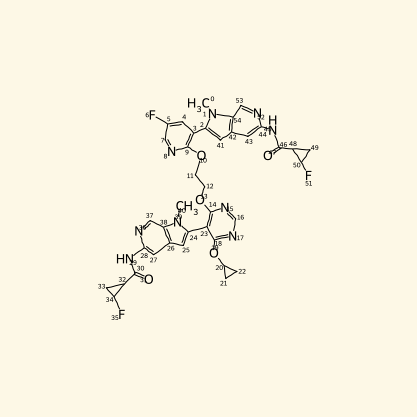 Cn1c(-c2cc(F)cnc2OCCOc2ncnc(OC3CC3)c2-c2cc3cc(NC(=O)C4CC4F)ncc3n2C)cc2cc(NC(=O)C3CC3F)ncc21